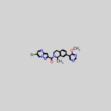 COc1ncncc1-c1ccc2c(c1)C(C)N(C(=O)c1cc3ncc(Br)cn3n1)CC2